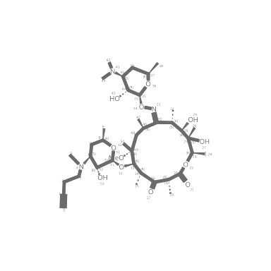 C#CCCN(C)[C@H]1C[C@@H](C)O[C@@H](O[C@@H]2[C@@H](C)C(=O)[C@@H](C)C(=O)O[C@H](I)[C@@](C)(O)[C@H](O)[C@@H](C)/C(=N/O[C@@H]3O[C@H](C)C[C@H](N(C)C)[C@H]3O)[C@H](C)C[C@@]2(C)OC)[C@@H]1O